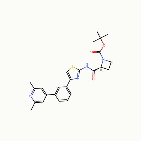 Cc1cc(-c2cccc(-c3csc(NC(=O)[C@@H]4CCN4C(=O)OC(C)(C)C)n3)c2)cc(C)n1